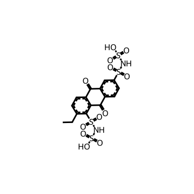 CCc1ccc2c(c1S(=O)(=O)NS(=O)(=O)O)C(=O)c1ccc(S(=O)(=O)NS(=O)(=O)O)cc1C2=O